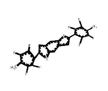 Cc1c(F)c(F)c(-c2cc3cc4sc(-c5c(F)c(F)c(C(F)(F)F)c(F)c5F)cc4cc3s2)c(F)c1F